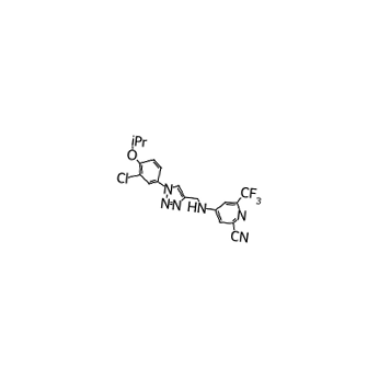 CC(C)Oc1ccc(-n2cc(CNc3cc(C#N)nc(C(F)(F)F)c3)nn2)cc1Cl